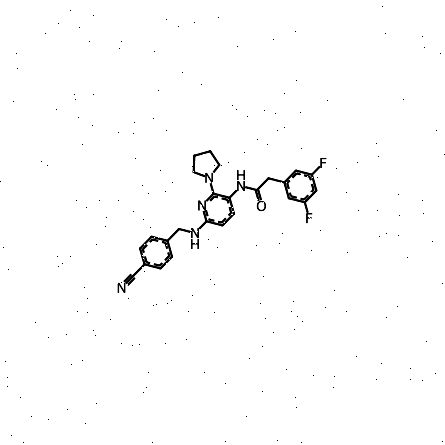 N#Cc1ccc(CNc2ccc(NC(=O)Cc3cc(F)cc(F)c3)c(N3CCCC3)n2)cc1